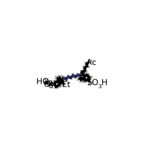 CC[N+]1=C(/C=C/C=C/C=C/C=C2/N(CCCCCC(C)=O)c3ccc(S(=O)(=O)O)cc3C2(C)C)C(C)(C)c2cc(SOOO)ccc21